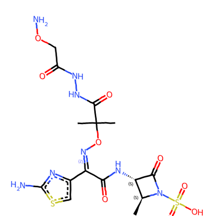 C[C@H]1[C@H](NC(=O)/C(=N\OC(C)(C)C(=O)NNC(=O)CON)c2csc(N)n2)C(=O)N1S(=O)(=O)O